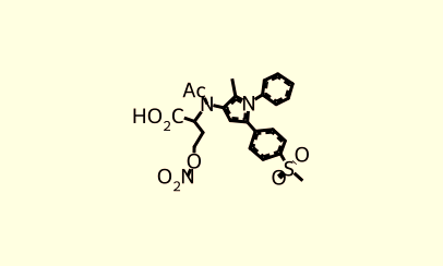 CC(=O)N(c1cc(-c2ccc(S(C)(=O)=O)cc2)n(-c2ccccc2)c1C)C(CCO[N+](=O)[O-])C(=O)O